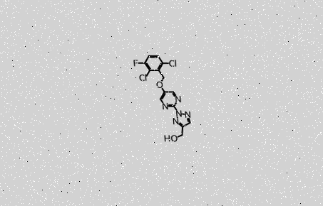 OCc1cnn(-c2ncc(OCc3c(Cl)ccc(F)c3Cl)cn2)n1